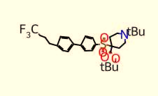 CC(C)(C)OC(=O)C1(S(=O)(=O)c2ccc(-c3ccc(CCCC(F)(F)F)cc3)cc2)CCN(C(C)(C)C)CC1